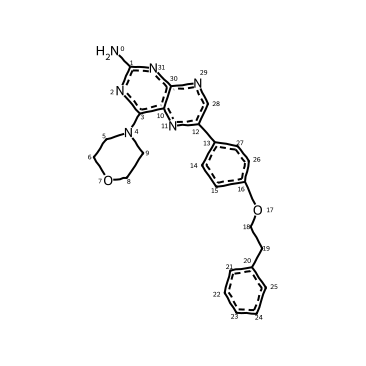 Nc1nc(N2CCOCC2)c2nc(-c3ccc(OCCc4ccccc4)cc3)cnc2n1